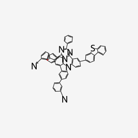 N#Cc1cccc(-c2ccc3c(c2)c2cc(-c4cccc(C#N)c4)ccc2n3-c2ccc(-c3ccc4c(c3)sc3ccccc34)cc2-c2nc(-c3ccccc3)nc(-c3ccccc3)n2)c1